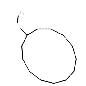 CCCOC1CCCCCCCCCCCC1